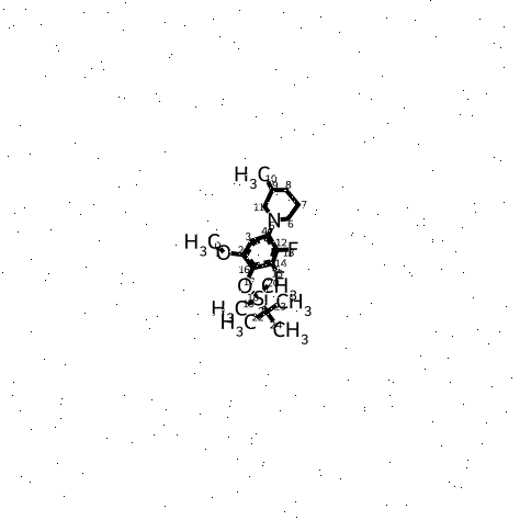 COc1cc(N2CCCC(C)C2)c(F)c(F)c1O[Si](C)(C)C(C)(C)C